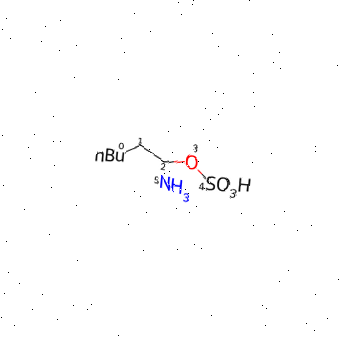 CCCCCCOS(=O)(=O)O.N